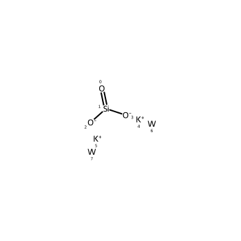 O=[Si]([O-])[O-].[K+].[K+].[W].[W]